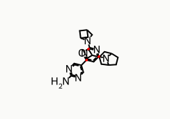 Nc1ncc(-c2cc(N3C4CCC3CC(C3COC3)C4)nc(N3CC4CC3C4)n2)cn1